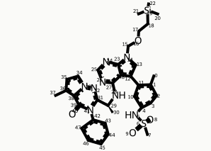 Cc1ccc(NS(C)(=O)=O)cc1-c1cn(COCC[Si](C)(C)C)c2ncnc(N[C@@H](C)c3nn4ccc(C)c4c(=O)n3-c3ccccc3)c12